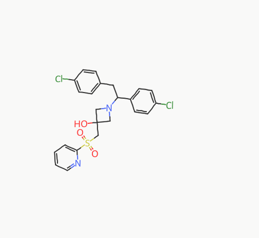 O=S(=O)(CC1(O)CN(C(Cc2ccc(Cl)cc2)c2ccc(Cl)cc2)C1)c1ccccn1